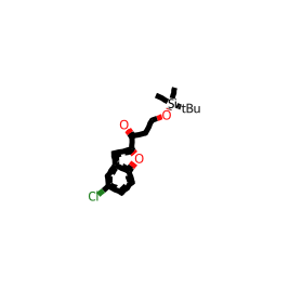 CC(C)(C)[Si](C)(C)OCCC(=O)c1cc2cc(Cl)ccc2o1